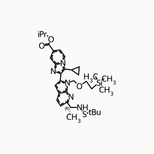 CC(C)OC(=O)c1ccn2c(C3CC3)c(-c3cc4ccc([C@@H](C)NSC(C)(C)C)nc4n3COCC[Si](C)(C)C)nc2c1